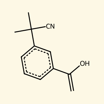 C=C(O)c1cccc(C(C)(C)C#N)c1